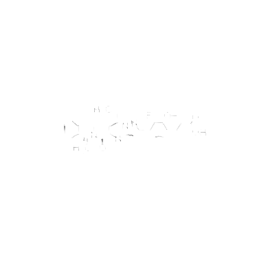 CCc1cc(C(=O)N2CCc3ccccc3[C@H]2C)nc2cc(-c3ccc4c(c3F)OCC(C(=O)O)=C4)nn12